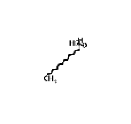 CCCCCCCCCCCCC[PH](=O)O